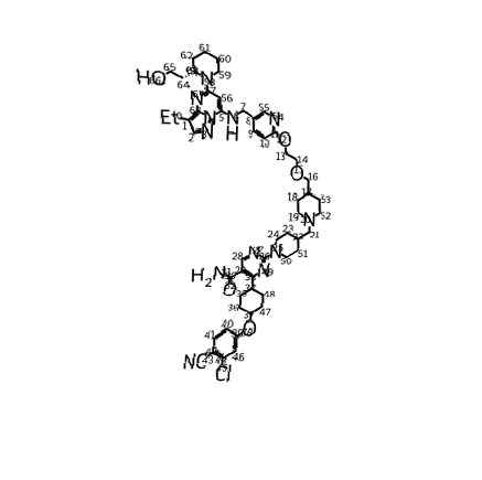 CCc1cnn2c(NCc3ccc(OCCOCC4CCN(CC5CCN(c6ncc(C(N)=O)c(C7CCC(Oc8ccc(C#N)c(Cl)c8)CC7)n6)CC5)CC4)nc3)cc(N3CCCC[C@H]3CCO)nc12